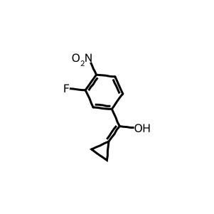 O=[N+]([O-])c1ccc(C(O)=C2CC2)cc1F